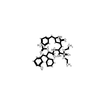 CCOP(=O)(OCC)C(O)C(CC1CC(Cc2ccccc2)NC1=O)NC(=O)[C@@H](OC(N)=O)C(Cc1cccc(Cl)c1)C1CCCCC1